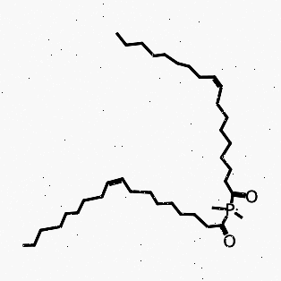 CCCCCCCC/C=C\CCCCCCCC(=O)[P](C)(C)C(=O)CCCCCCC/C=C\CCCCCCCC